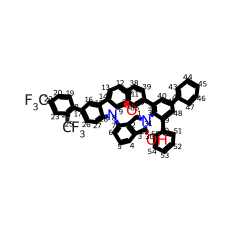 O=C1c2c(cccc2-n2c3ccccc3c3cc(-c4ccc(C(F)(F)F)cc4C(F)(F)F)ccc32)C(O)N1c1c(-c2ccccc2)cc(-c2ccccc2)cc1-c1ccccc1